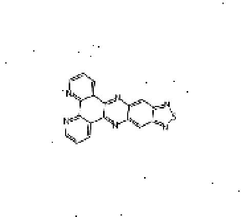 c1cnc2c(c1)c1nc3cc4nsnc4cc3nc1c1cccnc12